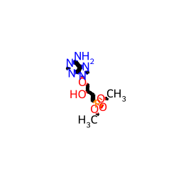 CCOP(=O)(C=CC(O)COn1cnc2c(N)ncnc21)OCC